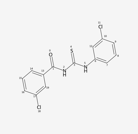 O=C(NC(=S)Nc1cccc(Cl)c1)c1cccc(Cl)c1